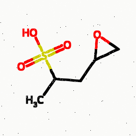 CC(CC1CO1)S(=O)(=O)O